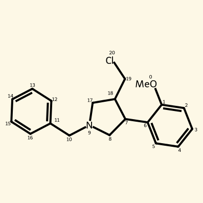 COc1ccccc1C1CN(Cc2ccccc2)CC1CCl